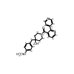 COc1ccc(CC2(O)CCN(C(=O)c3cccnc3-c3ccncc3)CC2)cc1